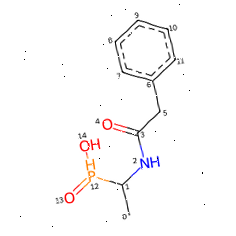 CC(NC(=O)Cc1ccccc1)[PH](=O)O